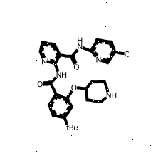 CC(C)(C)c1ccc(C(=O)Nc2ncccc2C(=O)Nc2ccc(Cl)cn2)c(OC2CCNCC2)c1